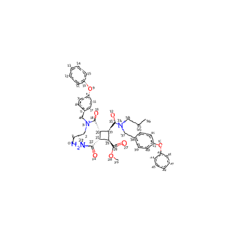 CCCN(Cc1ccc(Oc2ccccc2)cc1)C(=O)[C@H]1[C@@H](C(N)=O)[C@H](C(=O)OC)[C@@H]1C(=O)N(CCC)Cc1ccc(Oc2ccccc2)cc1